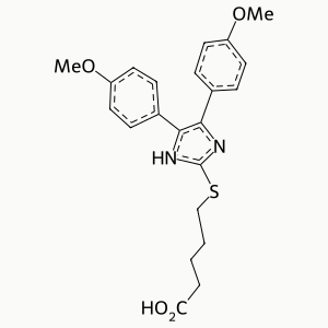 COc1ccc(-c2nc(SCCCCC(=O)O)[nH]c2-c2ccc(OC)cc2)cc1